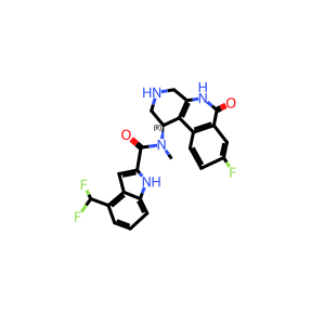 CN(C(=O)c1cc2c(C(F)F)cccc2[nH]1)[C@H]1CNCc2[nH]c(=O)c3cc(F)ccc3c21